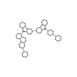 c1ccc(-c2ccc(-n3c4ccccc4c4cc(-c5ccc6c(c5)c5ccccc5n6-c5cccc6c5ccc5cc(-c7ccccc7)ccc56)ccc43)cc2)cc1